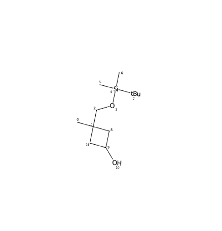 CC1(CO[Si](C)(C)C(C)(C)C)CC(O)C1